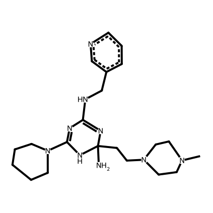 CN1CCN(CCC2(N)N=C(NCc3cccnc3)N=C(N3CCCCC3)N2)CC1